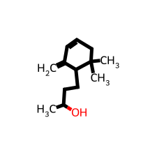 C=C1C=CCC(C)(C)C1CCC(C)O